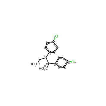 O=C(O)CC(c1ccc(Cl)cc1)C(C(=O)O)c1ccc(Cl)cc1